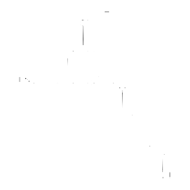 COCCCOc1cc(CN)cc(OC)c1